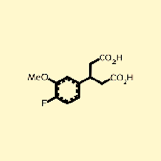 COc1cc(C(CC(=O)O)CC(=O)O)ccc1F